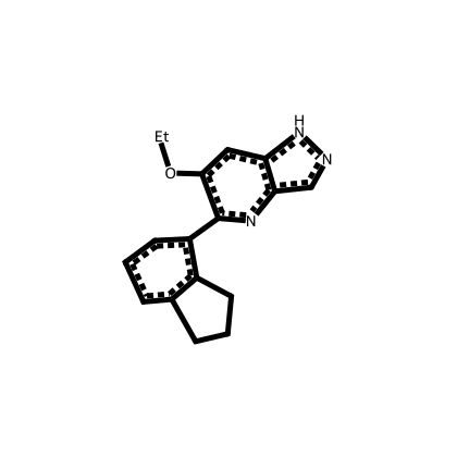 CCOc1cc2[nH]ncc2nc1-c1cccc2c1CCC2